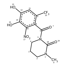 CN1CCCN(C(=O)c2c(C(F)(F)F)cc(O)c(O)c2[N+](=O)[O-])C1=O